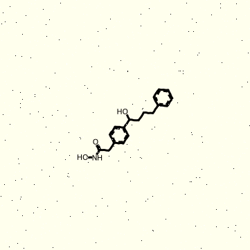 O=C(Cc1ccc(C(O)CCCc2ccccc2)cc1)NO